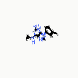 CC1C=CC(n2cnc3c(NC4CC4)nc(N)nc32)C1